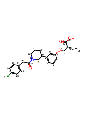 CC(COc1cccc(C2CCCN(C(=O)Cc3ccc(F)cc3)C2)c1)C(=O)O